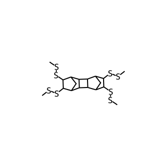 CSSC1C2CC(C1SSC)C1C2C2C3CC(C(SSC)C3SSC)C12